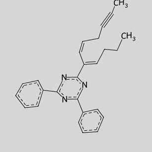 CC#CC/C=C\C(=C/CCC)c1nc(-c2ccccc2)nc(-c2ccccc2)n1